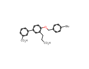 CC(C)(C)c1ccc(COc2ccc(-c3cccc(C(=O)O)c3)cc2CCC(=O)O)cc1